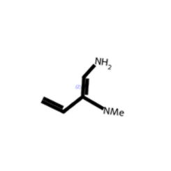 C=C/C(=C/N)NC